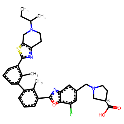 CCC(C)N1CCc2nc(-c3cccc(-c4cccc(-c5nc6cc(CN7CC[C@@H](C(=O)O)C7)cc(Cl)c6o5)c4C)c3C)sc2C1